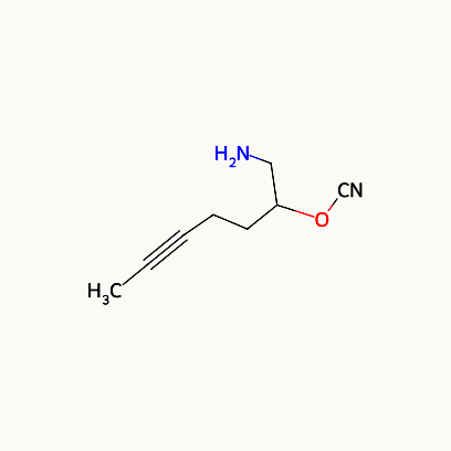 CC#CCCC(CN)OC#N